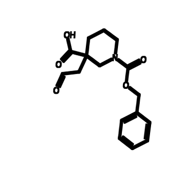 O=CCC1(C(=O)O)CCCN(C(=O)OCc2ccccc2)C1